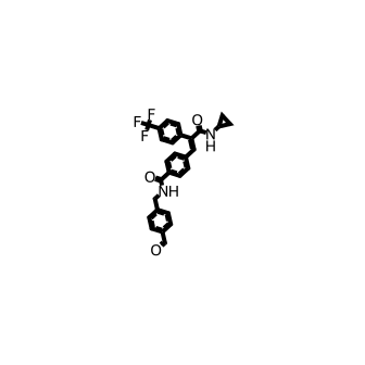 O=Cc1ccc(CNC(=O)c2ccc(/C=C(/C(=O)NC3CC3)c3ccc(C(F)(F)F)cc3)cc2)cc1